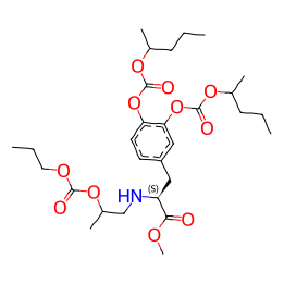 CCCOC(=O)OC(C)CN[C@@H](Cc1ccc(OC(=O)OC(C)CCC)c(OC(=O)OC(C)CCC)c1)C(=O)OC